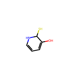 OC1=CC=CNC1S